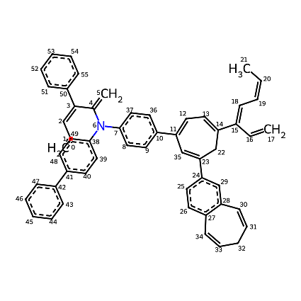 C=C/C=C(\C(=C)N(c1ccc(C2=CC=C(/C(C=C)=C/C=C\C)CC(c3ccc4c(c3)C=CCC=C4)=C2)cc1)c1ccc(-c2ccccc2)cc1)c1ccccc1